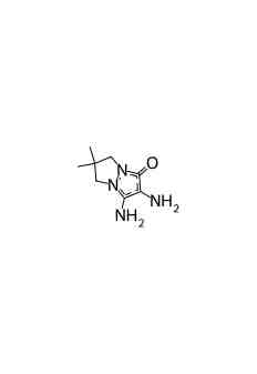 CC1(C)Cn2c(N)c(N)c(=O)n2C1